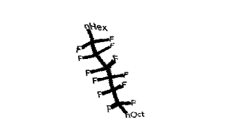 CCCCCCCCC(F)(F)C(F)(F)C(F)(F)C(F)(F)C(F)(F)C(F)(F)CCCCCC